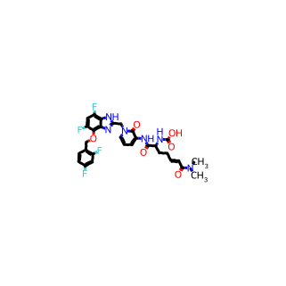 CN(C)C(=O)C=CCCC(NC(=O)O)C(=O)Nc1cccn(Cc2nc3c(OCc4ccc(F)cc4F)c(F)cc(F)c3[nH]2)c1=O